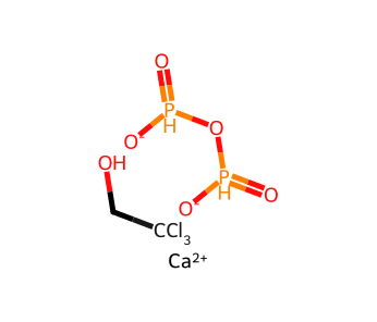 O=[PH]([O-])O[PH](=O)[O-].OCC(Cl)(Cl)Cl.[Ca+2]